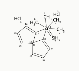 Cl.Cl.[CH3][Zr]([CH3])([CH3])([CH3])(=[SiH2])([C]1=CC=CC1)[C]1=CC=CC1